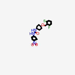 O=C(Nc1ccc([N+](=O)[O-])cc1)N[C@H]1CC[C@H](OCc2c(F)cccc2F)CC1